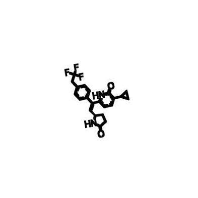 O=C1CC[C@H](/C=C(/c2ccc(CC(F)(F)F)cc2)c2ccc(C3CC3)c(=O)[nH]2)N1